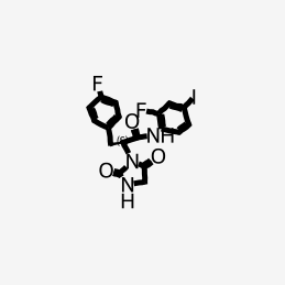 O=C(Nc1ccc(I)cc1F)[C@H](Cc1ccc(F)cc1)N1C(=O)CNC1=O